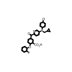 O=C(c1ccc(Oc2ccccc2F)c(C(=O)O)c1)c1ccc(N(CC2CC2)c2ccc(Cl)cc2)cn1